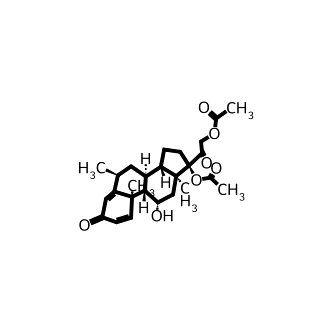 CC(=O)OCC(=O)[C@@]1(OC(C)=O)CC[C@H]2[C@@H]3C[C@H](C)C4=CC(=O)C=C[C@]4(C)[C@H]3[C@@H](O)C[C@@]21C